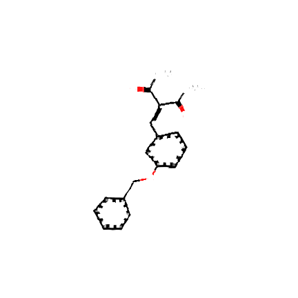 COC(=O)C(=Cc1cccc(OCc2ccccc2)c1)C(=O)OC